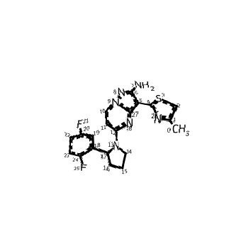 Cc1csc(-c2c(N)nn3ccc(N4CCCC4c4cc(F)ccc4F)nc23)n1